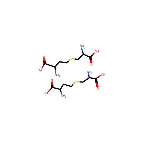 NC(CCSCC(N)C(=O)O)C(=O)O.NC(CCSCC(N)C(=O)O)C(=O)O